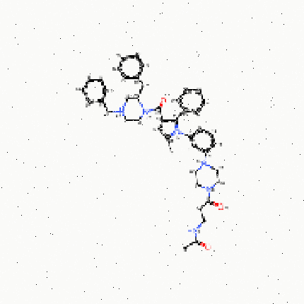 CC(=O)NCCC(=O)N1CCN(c2cccc(-n3c(C)cc(C(=O)N4CCN(Cc5ccccc5)C[C@H]4Cc4ccccc4)c3-c3ccccc3)c2)CC1